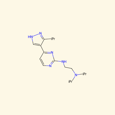 CC(C)c1n[nH]cc1-c1ccnc(NCCN(C(C)C)C(C)C)n1